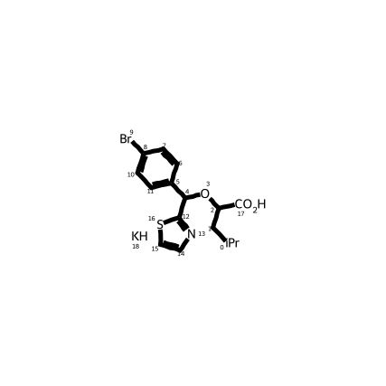 CC(C)CC(OC(c1ccc(Br)cc1)c1nccs1)C(=O)O.[KH]